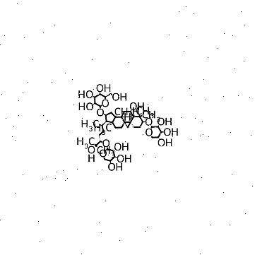 C[C@H](CC[C@H](O[C@@H]1OC[C@@H](O)[C@H](O)[C@H]1O)C(C)(C)O)[C@H]1[C@@H](O[C@@H]2O[C@H](CO)[C@@H](O)[C@H](O)[C@H]2O)C[C@@]2(C)[C@@H]3C[C@H](O)[C@H]4C(C)(C)[C@@H](O[C@@H]5OC[C@@H](O)[C@H](O)[C@H]5O)CC[C@@]45C[C@@]35CC[C@]12C